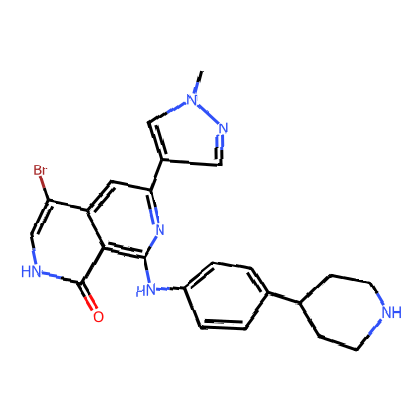 Cn1cc(-c2cc3c(Br)c[nH]c(=O)c3c(Nc3ccc(C4CCNCC4)cc3)n2)cn1